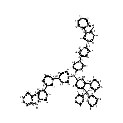 c1ccc(C2(c3ccccc3)c3ccccc3-c3cc(N(c4ccc(-c5ccc(-c6ccc7oc8ccccc8c7c6)cc5)cc4)c4ccc(-c5cccc(-c6ccc7sc8ccccc8c7c6)c5)cc4)ccc32)cc1